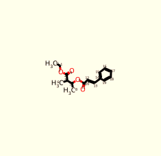 CCOC(=O)C(C)C(C)OC(=O)/C=C/c1ccccc1